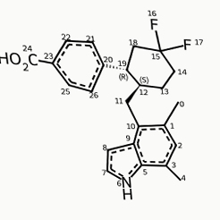 Cc1cc(C)c2[nH]ccc2c1C[C@@H]1CCC(F)(F)C[C@H]1c1ccc(C(=O)O)cc1